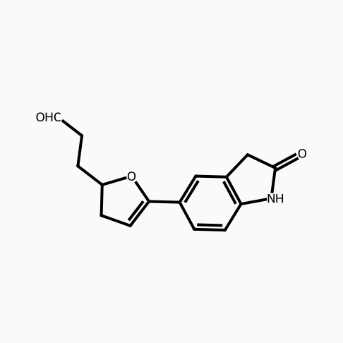 O=CCCC1CC=C(c2ccc3c(c2)CC(=O)N3)O1